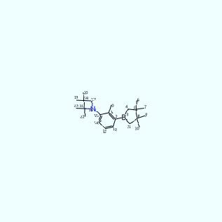 Cc1c(B2CC(C)(C)C(C)(C)C2)cccc1N1CC(C)(C)C1(C)C